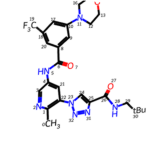 Cc1ncc(NC(=O)c2cc(N3CCOCC3)cc(C(F)(F)F)c2)cc1-n1cc(C(=O)NCC(C)(C)C)nn1